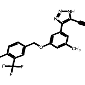 Cc1cc(OCc2ccc(Cl)c(C(F)(F)F)c2)cc(-c2nn[nH]c2C#N)c1